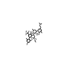 CCOC(=O)CC(NC(=O)C(CC(C)C)n1cc(CCN(C)C)cc(C)c1=O)c1cc(-c2c(C)cc(F)cc2C)cc(C(F)(F)F)c1F